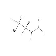 FC(F)C(F)C(F)(Br)C(F)(Cl)Br